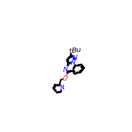 CC(C)(C)c1cc2nc(OCc3ccccn3)c3ccccc3n2n1